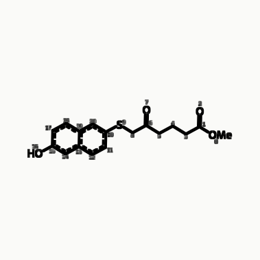 COC(=O)CCCC(=O)CSc1ccc2cc(O)ccc2c1